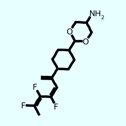 C=C(/C=C(F)\C(F)=C(/C)F)C1CCC(C2OCC(N)CO2)CC1